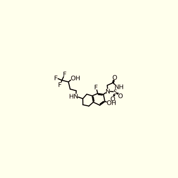 O=C1CN(c2c(O)cc3c(c2F)CC(NCCC(O)C(F)(F)F)CC3)S(=O)(=O)N1